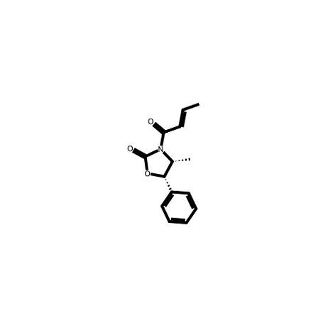 CC=CC(=O)N1C(=O)O[C@@H](c2ccccc2)[C@H]1C